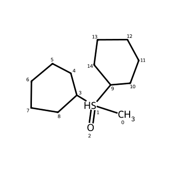 C[SH](=O)(C1CCCCC1)C1CCCCC1